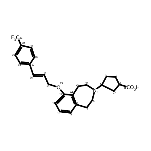 O=C(O)C1CCC(N2CCc3cccc(OC/C=C/c4ccc(C(F)(F)F)cc4)c3CC2)C1